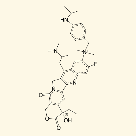 CC[C@@]1(O)C(=O)OCc2c1cc1n(c2=O)Cc2c-1nc1cc(F)c([N+](C)(C)Cc3ccc(NC(C)C)cc3)cc1c2CC(C)N(C)C